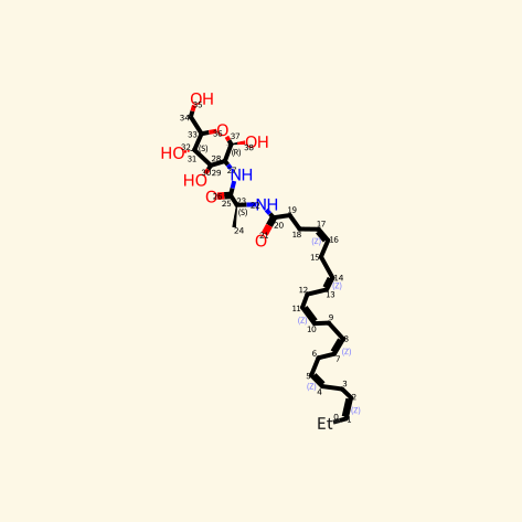 CC/C=C\C/C=C\C/C=C\C/C=C\C/C=C\C/C=C\CCC(=O)N[C@@H](C)C(=O)NC1C(O)[C@H](O)C(CO)O[C@H]1O